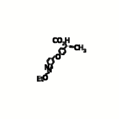 CC#C[C@@H](CC(=O)O)c1ccc(OCc2ccc3nn(CCOCC)cc3c2)cc1